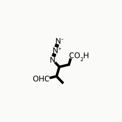 CC(C=O)C(CC(=O)O)N=[N+]=[N-]